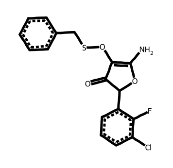 NC1=C(OSCc2ccccc2)C(=O)C(c2cccc(Cl)c2F)O1